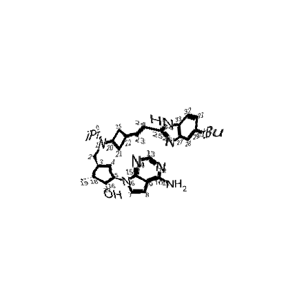 CC(C)N(C[C@H]1C[C@@H](n2ccc3c(N)ncnc32)[C@H](O)[C@@H]1C)C1CC(CCc2nc3cc(C(C)(C)C)ccc3[nH]2)C1